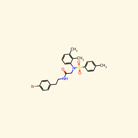 Cc1ccc(S(=O)(=O)N(CC(=O)NCCc2ccc(Br)cc2)c2cccc(C)c2C)cc1